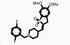 COc1cc2c(cc1OC)S(=O)(=O)C(=CC1CCN(Cc3cc(F)ccc3F)CC1)C2